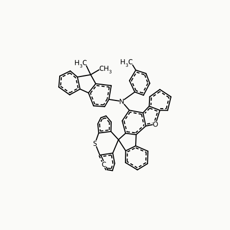 Cc1cccc(N(c2ccc3c(c2)C(C)(C)c2ccccc2-3)c2cc3c(c4oc5ccccc5c24)-c2ccccc2C32c3ccccc3Sc3ccccc32)c1